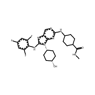 CNC(=O)C1CCC(Nc2ncc3nc(Nc4c(F)cc(F)cc4F)n([C@H]4CC[C@@H](O)CC4)c3n2)CC1